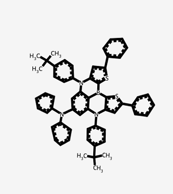 CC(C)(C)c1ccc(N2c3cc(-c4ccccc4)sc3B3c4sc(-c5ccccc5)cc4N(c4ccc(C(C)(C)C)cc4)c4cc(N(c5ccccc5)c5ccccc5)cc2c43)cc1